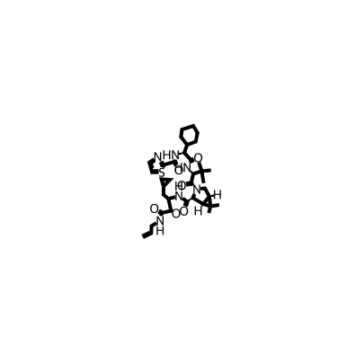 C=CCNC(=O)C(=O)C(CC1CC1)NC(=O)[C@@H]1[C@@H]2[C@H](CN1C(=O)[C@@H](NC(=O)[C@@H](NC(=O)c1nccs1)C1CCCCC1)C(C)(C)C)C2(C)C